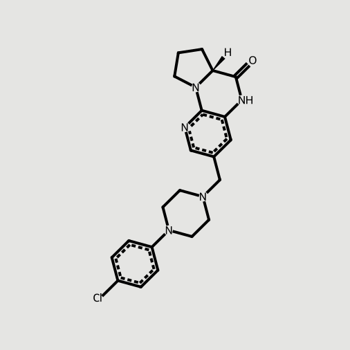 O=C1Nc2cc(CN3CCN(c4ccc(Cl)cc4)CC3)cnc2N2CCC[C@H]12